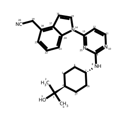 CC(C)(O)[C@H]1CC[C@H](Nc2nccc(-n3ccc4c(CC#N)cccc43)n2)CC1